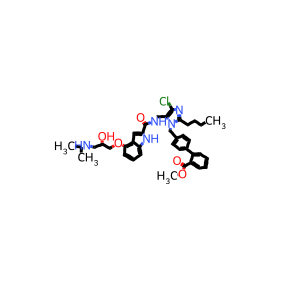 CCCCc1nc(Cl)c(CNC(=O)c2cc3c(OCC(O)CNC(C)C)cccc3[nH]2)n1Cc1ccc(-c2ccccc2C(=O)OC)cc1